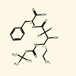 CCC[C@H](NC(=O)OC(C)(C)C)C(O)C(F)(F)C(=O)N[C@@H](Cc1ccccc1)C(=O)O